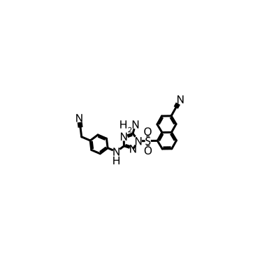 N#CCc1ccc(Nc2nc(N)n(S(=O)(=O)c3cccc4cc(C#N)ccc34)n2)cc1